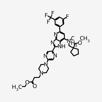 CCOC(=O)CCN1CCN(c2cnc(-c3nc4nc(-c5cc(F)cc(C(F)(F)F)c5)cc(N(C)CC5(COC)CCCC5)c4[nH]3)cn2)CC1